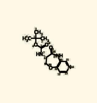 CC(C)(C)OC(=O)N[C@H]1COc2ccncc2NC1=O